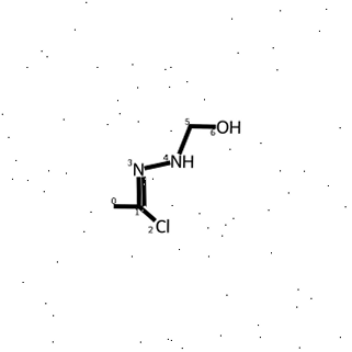 C/C(Cl)=N/NCO